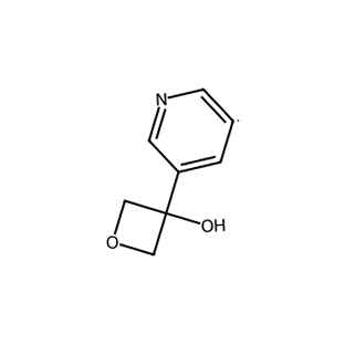 OC1(c2c[c]cnc2)COC1